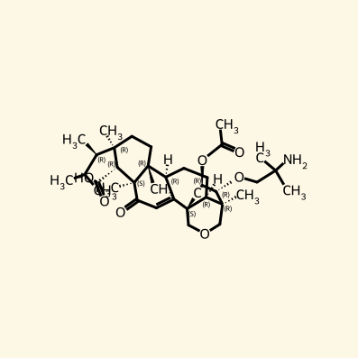 CC(=O)O[C@@H]1C[C@]23COC[C@@](C)([C@@H]2CC[C@H]2C3=CC(=O)[C@@]3(C)[C@H](C(=O)O)[C@@](C)([C@H](C)C(C)C)CC[C@]23C)[C@H]1OCC(C)(C)N